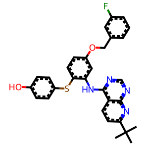 CC(C)(C)c1ccc2c(Nc3cc(OCc4cccc(F)c4)ccc3Sc3ccc(O)cc3)ncnc2n1